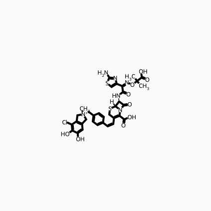 CC(C)(O/N=C(\C(=O)N[C@@H]1C(=O)N2C(C(=O)O)=C(/C=C\c3ccc(C[N+]4(C)Cc5cc(O)c(O)c(Cl)c5C4)cc3)CS[C@H]12)c1csc(N)n1)C(=O)O